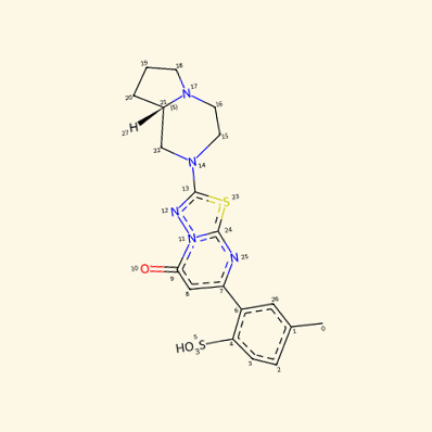 Cc1ccc(S(=O)(=O)O)c(-c2cc(=O)n3nc(N4CCN5CCC[C@H]5C4)sc3n2)c1